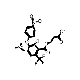 C[S+](C)C.O=C([O-])CCOC(=O)c1c(C(F)(F)F)ccc(Oc2ccc([N+](=O)[O-])cc2)c1Cl